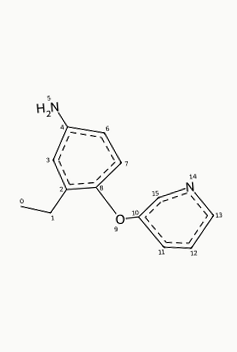 CCc1cc(N)ccc1Oc1cccnc1